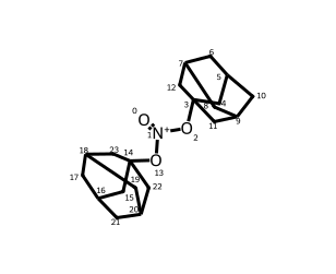 O=[N+](OC12CC3CC(CC(C3)C1)C2)OC12CC3CC(CC(C3)C1)C2